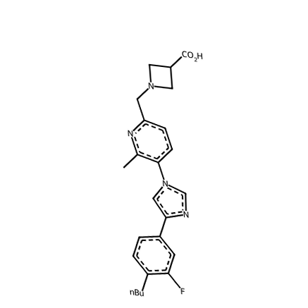 CCCCc1ccc(-c2cn(-c3ccc(CN4CC(C(=O)O)C4)nc3C)cn2)cc1F